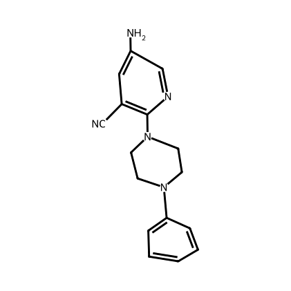 N#Cc1cc(N)cnc1N1CCN(c2ccccc2)CC1